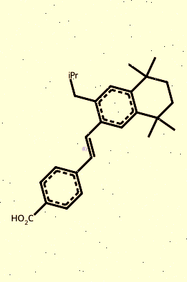 CC(C)Cc1cc2c(cc1/C=C/c1ccc(C(=O)O)cc1)C(C)(C)CCC2(C)C